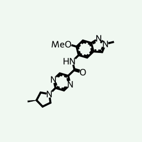 COc1cc2nn(C)cc2cc1NC(=O)c1cnc(N2CC[C@@H](C)C2)cn1